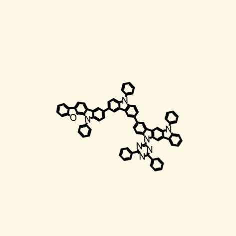 c1ccc(-c2nc(-c3ccccc3)nc(-n3c4ccc(-c5ccc6c(c5)c5cc(-c7ccc8c(c7)c7ccc9c%10ccccc%10oc9c7n8-c7ccccc7)ccc5n6-c5ccccc5)cc4c4cc5c(cc43)c3ccccc3n5-c3ccccc3)n2)cc1